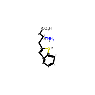 N[C@H](CC(=O)O)Cc1cc2ccccc2s1